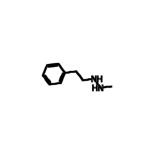 CNNCCc1ccccc1